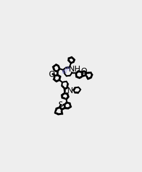 C1=CC(n2c3c(c4ccc(-c5cccc6c5sc5ccccc56)cc42)=CC(c2ccc4oc5cccc(C6=C/CCC(c7ccc8c(c7)oc7ccccc78)N/C(c7ccccc7)=C\6)c5c4c2)CC=3)=CCC1